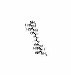 N=C(N)NC(=N)NC(=O)CCCCCC(=O)NC(=N)NC(=N)N